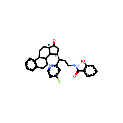 C[C@]12CCC3c4ccccc4CCC3C1[C@H](C(CCNC(=O)c1ccccc1O)c1cc(F)ccn1)CC2=O